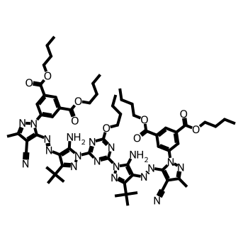 CCCCOC(=O)c1cc(C(=O)OCCCC)cc(-n2nc(C)c(C#N)c2N=Nc2c(C(C)(C)C)nn(-c3nc(OCCCC)nc(-n4nc(C(C)(C)C)c(N=Nc5c(C#N)c(C)nn5-c5cc(C(=O)OCCCC)cc(C(=O)OCCCC)c5)c4N)n3)c2N)c1